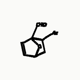 CC(=O)C1CC2C=CC1(C=O)O2